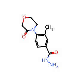 Cc1cc(C(=O)NN)ccc1N1CCOCC1=O